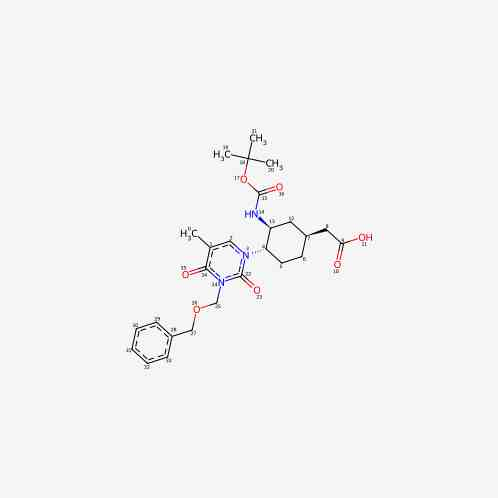 Cc1cn([C@H]2CC[C@H](CC(=O)O)C[C@@H]2NC(=O)OC(C)(C)C)c(=O)n(COCc2ccccc2)c1=O